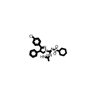 CC(=N)N/C(=N\S(=O)(=O)C1CCCCC1)N1CC(c2ccccc2)C(c2ccc(Cl)cc2)=N1